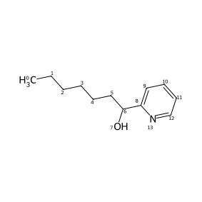 CCCCCCC(O)c1ccccn1